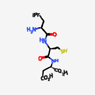 CC(C)C[C@H](N)C(=O)N[C@@H](CS)C(=O)N[C@@H](CC(=O)O)C(=O)O